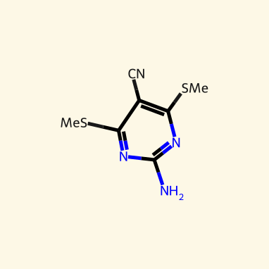 [CH2]Sc1nc(N)nc(SC)c1C#N